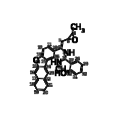 CNC(N/C(=C\C1OC1C)c1ccc2oc3cc4ccccc4cc3c2c1)c1ccccc1O